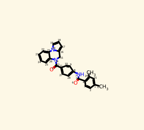 Cc1ccc(C(=O)Nc2ccc(C(=O)N3Cc4cccn4-c4ccccc43)cc2)c(C)c1